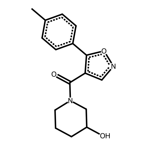 Cc1ccc(-c2oncc2C(=O)N2CCCC(O)C2)cc1